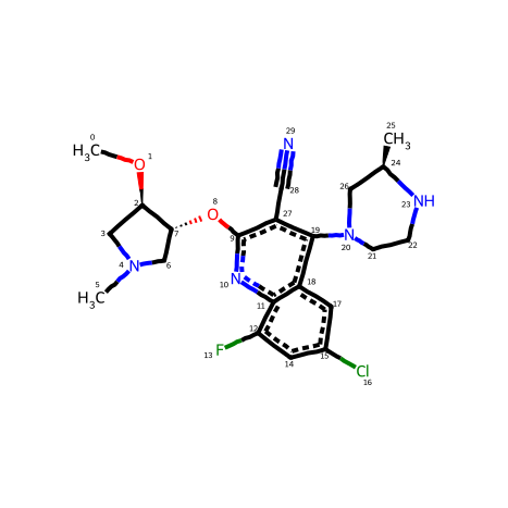 CO[C@@H]1CN(C)C[C@H]1Oc1nc2c(F)cc(Cl)cc2c(N2CCN[C@H](C)C2)c1C#N